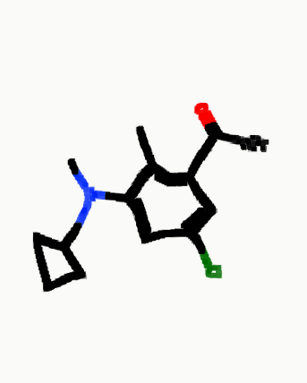 CCCC(=O)c1cc(Cl)cc(N(C)C2CCC2)c1C